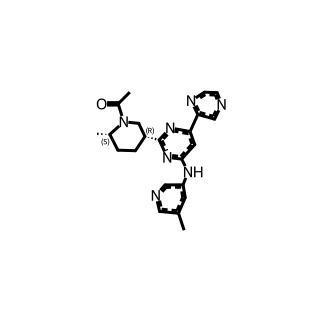 CC(=O)N1C[C@H](c2nc(Nc3cncc(C)c3)cc(-c3cnccn3)n2)CC[C@@H]1C